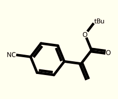 C=C(C(=O)OC(C)(C)C)c1ccc(C#N)cc1